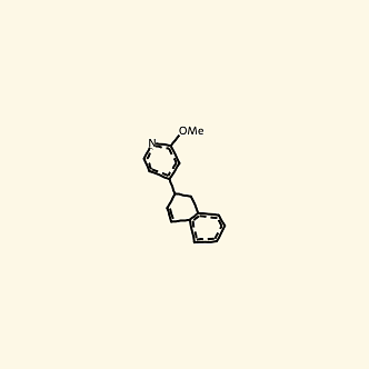 COc1cc(C2C=Cc3ccccc3C2)ccn1